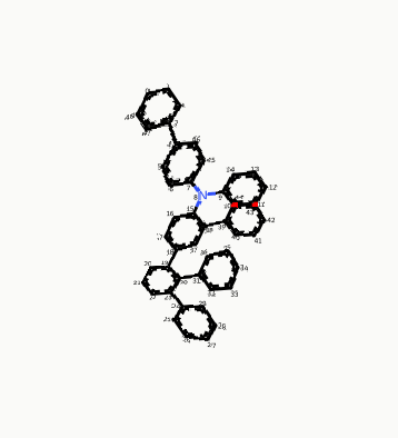 c1ccc(-c2ccc(N(c3ccccc3)c3ccc(-c4cccc(-c5ccccc5)c4-c4ccccc4)cc3-c3ccccc3)cc2)cc1